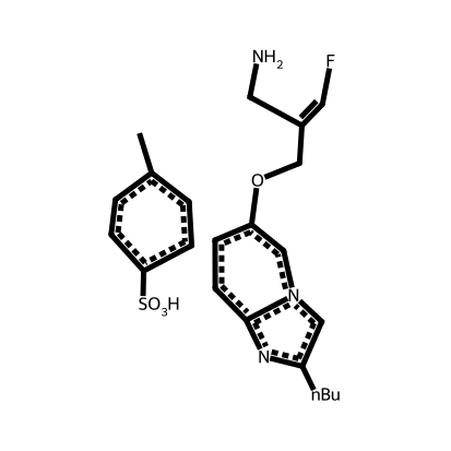 CCCCc1cn2cc(OCC(=CF)CN)ccc2n1.Cc1ccc(S(=O)(=O)O)cc1